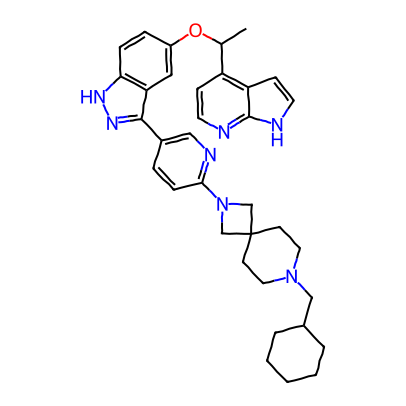 CC(Oc1ccc2[nH]nc(-c3ccc(N4CC5(CCN(CC6CCCCC6)CC5)C4)nc3)c2c1)c1ccnc2[nH]ccc12